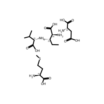 CC(C)[C@H](N)C(=O)O.CC[C@H](C)[C@H](N)C(=O)O.CSCC[C@H](N)C(=O)O.N[C@@H](CC(=O)O)C(=O)O